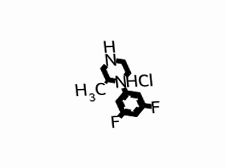 C[C@H]1CNCCN1c1cc(F)cc(F)c1.Cl